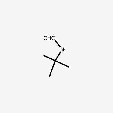 CC(C)(C)[N]C=O